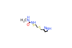 CNC(=O)NSCCSCc1cc[nH]n1